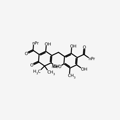 CCCC(=O)C1=C(O)C(Cc2c(O)c(C(=O)CCC)c(O)c(C)c2OC)=C(O)C(C)(C)C1=O